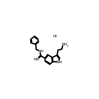 I.N=C(NCc1ccccc1)c1ccc2[nH]cc(CCN)c2c1